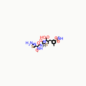 CNS(=O)(=O)c1cc(C)cc(CC2=C(C(=O)O)N3C(=O)[C@@H](NC(=O)C(=NOC)c4csc(N)n4)[C@H]3SC2)c1